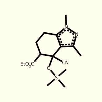 CCOC(=O)C1CCc2c(c(C)nn2C)C1(C#N)O[Si](C)(C)C